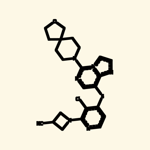 N#CC1CN(c2nccc(Sc3cnc(N4CCC5(CCOC5)CC4)n4ccnc34)c2Cl)C1